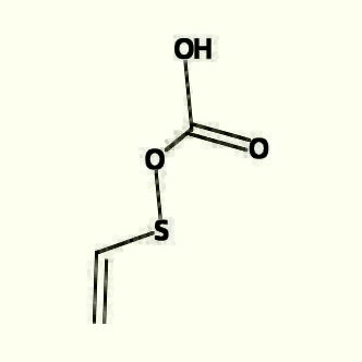 C=CSOC(=O)O